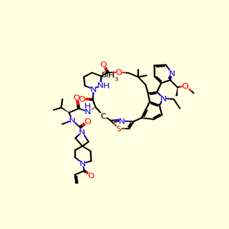 C=CC(=O)N1CCC2(CC1)CN(C(=O)N(C)[C@H](C(=O)N[C@H]1Cc3nc(cs3)-c3ccc4c(c3)c(c(-c3cccnc3[C@H](C)OC)n4CC)CC(C)(C)COC(=O)[C@@]3([SiH3])CCCN(N3)C1=O)C(C)C)C2